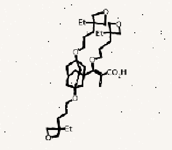 CCC1(CCCOC(=C(C)C(=O)O)C23CC4CC(OCCCC5(CC)COC5)(CC(OCCCC5(CC)COC5)(C4)C2)C3)COC1